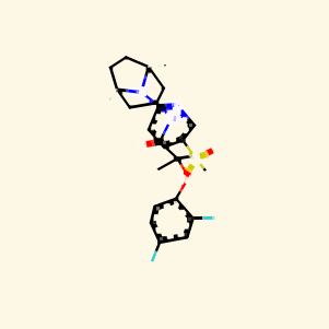 CC(C)(Oc1ccc(F)cc1F)C(=O)N[C@H]1C[C@H]2CC[C@@H](C1)N2c1ccc(S(C)(=O)=O)cn1